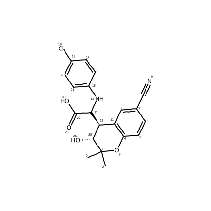 CC1(C)Oc2ccc(C#N)cc2[C@H](C(Nc2ccc(Cl)cc2)C(=O)O)[C@H]1O